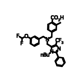 CCCCn1c(-c2ccccc2)nc(C(F)(F)F)c1CN(Cc1cccc(OC(F)F)c1)Cc1ccc(C(=O)O)c(C)c1